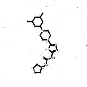 CC1CC(C)CC(N2CCN(c3nnc(NC(=O)NC4CCCC4)s3)CC2)C1